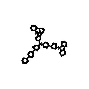 c1ccc(-c2ccc(-c3ccc(N(c4ccc(-c5ccc(-n6c7ccccc7c7ccccc76)cc5)cc4)c4ccc5c(c4)c4cccc6c7ccccc7n5c64)cc3)cc2)cc1